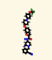 N#Cc1ccccc1CN1CCC(NC(=O)c2cc3ccc(OC4CCN(c5ccc(OC(F)(F)F)cc5)CC4)cc3o2)CC1I